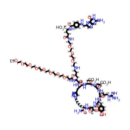 CCOCCOCCOCCOCCOCCOCCOCCOCCC(=O)N[C@@H](CCCCNCCOCCOCCOCCNC(=O)CC[C@H](NC(=O)c1ccc(NCc2cnc3nc(N)[nH]c(=O)c3n2)cc1)C(=O)O)C(=O)N[C@H]1Cc2cn(nn2)CCCC[C@@H](C(N)=O)NC(=O)[C@@H]([C@H](C)O)NC(=O)[C@@H](Cc2ccc(O)cc2)NC(=O)[C@@H](CCCNC(=N)N)NC(=O)[C@@H](CCC(=O)O)NC(=O)[C@@H](CC(=O)O)NC1=O